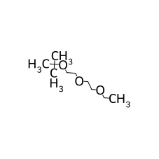 CCOCCOCCOC(C)(C)C